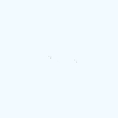 C=NS/C(C)=N\C